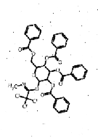 CN=C(OC1OC(COC(=O)c2ccccc2)C(OC(=O)c2ccccc2)C(OC(=O)c2ccccc2)C1OC(=O)c1ccccc1)C(Cl)(Cl)Cl